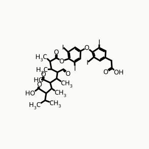 CC(C)C(C(=O)O)C(C)C(C(=O)O)C(C)C(C=O)C(C)C(C)C(=O)Oc1c(I)cc(Oc2c(I)cc(CC(=O)O)cc2I)cc1I